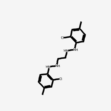 Cc1ccc(NNCCNNc2ccc(C)cc2Cl)c(Cl)c1